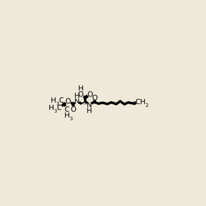 C=CCCCCCCCCC(=O)N[C@@H](CNC(=O)OC(C)(C)C)C(=O)O